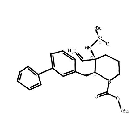 C=C[C@]1(N[S@+]([O-])C(C)(C)C)CCCN(C(=O)OC(C)(C)C)[C@H]1Cc1cccc(-c2ccccc2)c1